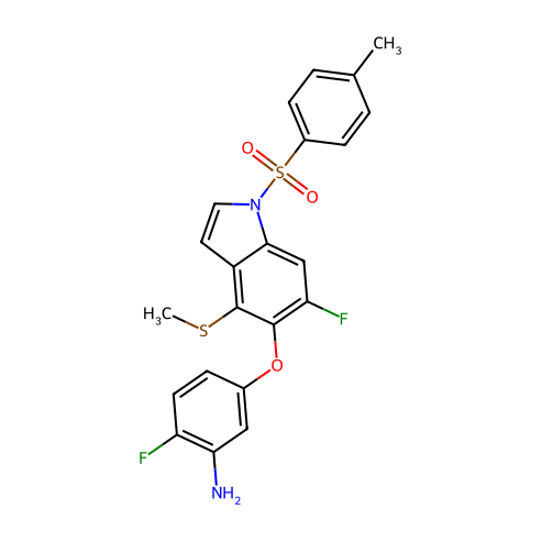 CSc1c(Oc2ccc(F)c(N)c2)c(F)cc2c1ccn2S(=O)(=O)c1ccc(C)cc1